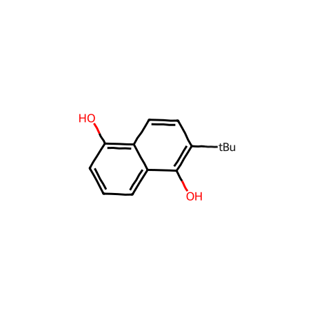 CC(C)(C)c1ccc2c(O)cccc2c1O